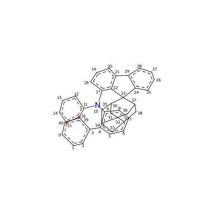 c1ccc(-c2ccccc2N(c2ccccc2)c2cccc3c2C2(c4ccccc4-3)C3CC4CC(C3)CC2C4)cc1